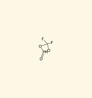 O=[PH]1OC(F)(F)O1